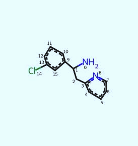 NC(Cc1ccccn1)c1cccc(Cl)c1